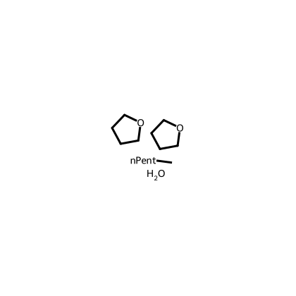 C1CCOC1.C1CCOC1.CCCCCC.O